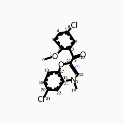 COc1ccc(Cl)cc1C(=O)/C(=C/N(C)C)Oc1ccc(Cl)cc1